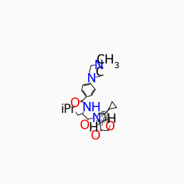 CC(C)CC(NC(=O)c1ccc(N2CCN(C)CC2)cc1)C(=O)N1C[C@@H](C2CC2)[C@H]2OCC(=O)[C@H]21